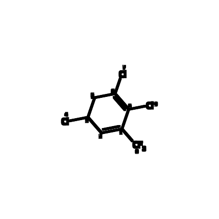 FC(F)(F)C1=CC(Cl)[CH]C(Cl)=C1Cl